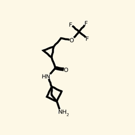 NC12CC(NC(=O)C3CC3COC(F)(F)F)(C1)C2